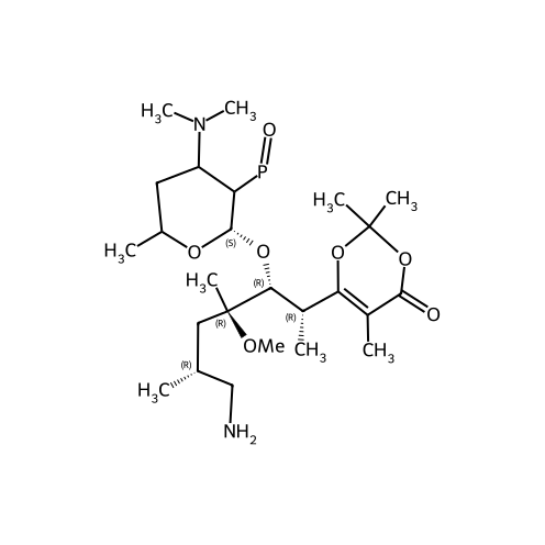 CO[C@](C)(C[C@@H](C)CN)[C@H](O[C@@H]1OC(C)CC(N(C)C)C1P=O)[C@@H](C)C1=C(C)C(=O)OC(C)(C)O1